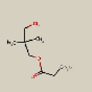 CC(C)(CO)COC(=O)CC(=O)O